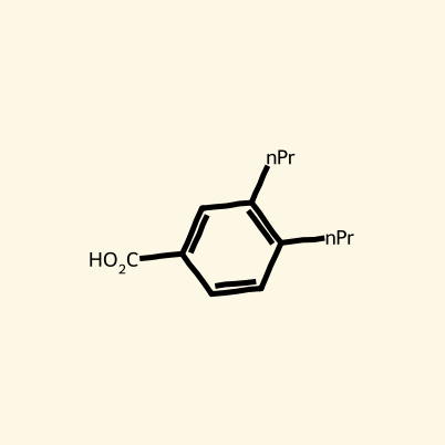 CCCc1ccc(C(=O)O)cc1CCC